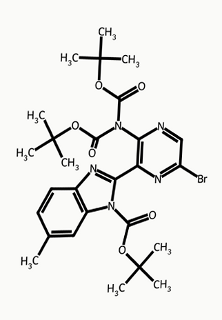 Cc1ccc2nc(-c3nc(Br)cnc3N(C(=O)OC(C)(C)C)C(=O)OC(C)(C)C)n(C(=O)OC(C)(C)C)c2c1